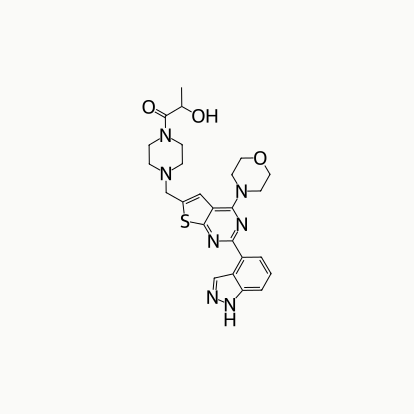 CC(O)C(=O)N1CCN(Cc2cc3c(N4CCOCC4)nc(-c4cccc5[nH]ncc45)nc3s2)CC1